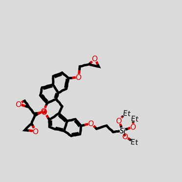 CCO[Si](CCCOc1ccc2ccc(OCC3CO3)c(Cc3c(OCC4CO4)ccc4ccc(OCC5CO5)cc34)c2c1)(OCC)OCC